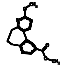 COC(=O)c1ccc2c(c1)-c1ccc(OC)nc1CCC2